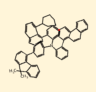 CC1(C)c2ccccc2-c2c(-c3ccc(N(c4ccccc4-c4cccc5c4ccc4ccccc45)c4ccccc4-c4cccc5cccc(C6CCCCC6)c45)cc3)cccc21